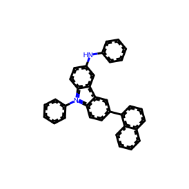 c1ccc(Nc2ccc3c(c2)c2cc(-c4cccc5ccccc45)ccc2n3-c2ccccc2)cc1